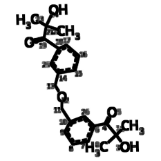 CC(C)(O)C(=O)c1cccc(COCc2cccc(C(=O)C(C)(C)O)c2)c1